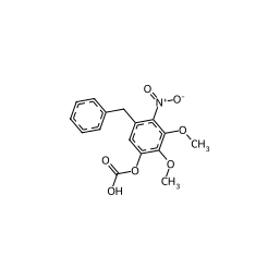 COc1c(OC(=O)O)cc(Cc2ccccc2)c([N+](=O)[O-])c1OC